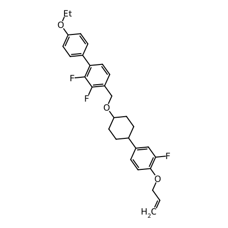 C=CCOc1ccc(C2CCC(OCc3ccc(-c4ccc(OCC)cc4)c(F)c3F)CC2)cc1F